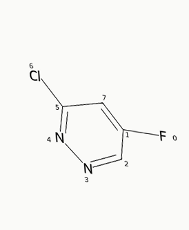 Fc1cnnc(Cl)c1